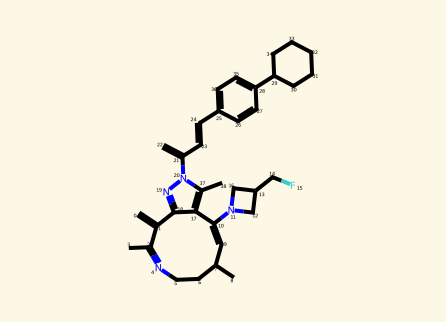 C=C1/C(C)=N\CCC(C)/C=C(/N2CC(CF)C2)c2c1nn(C(=C)/C=C/c1ccc(C3CCCCC3)cc1)c2C